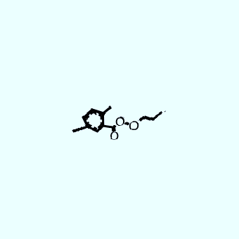 [CH2]CCOOC(=O)c1cc(C)ccc1C